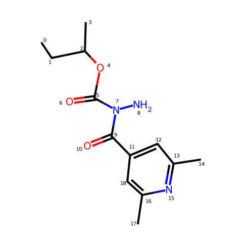 CCC(C)OC(=O)N(N)C(=O)c1cc(C)nc(C)c1